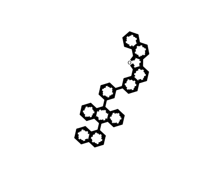 c1cc(-c2ccc3ccc4c5ccc6ccccc6c5oc4c3c2)cc(-c2c3ccccc3c(-c3cccc4ccccc34)c3ccccc23)c1